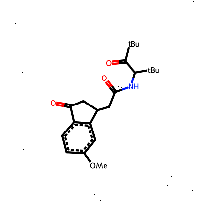 COc1ccc2c(c1)C(CC(=O)NC(C(=O)C(C)(C)C)C(C)(C)C)CC2=O